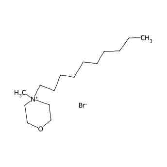 CCCCCCCCCC[N+]1(C)CCOCC1.[Br-]